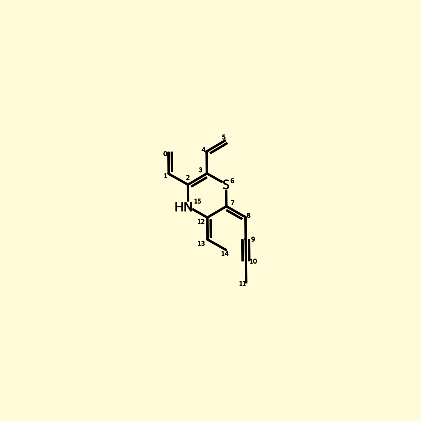 C=CC1=C(C=C)SC(=C/C#CC)/C(=C\C)N1